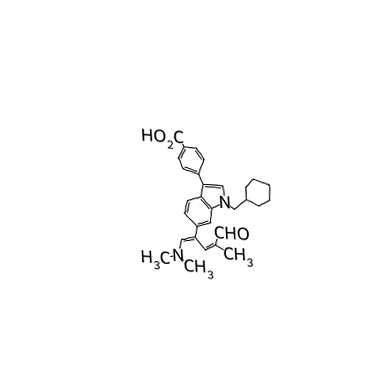 C/C(C=O)=C/C(=C\N(C)C)c1ccc2c(-c3ccc(C(=O)O)cc3)cn(CC3CCCCC3)c2c1